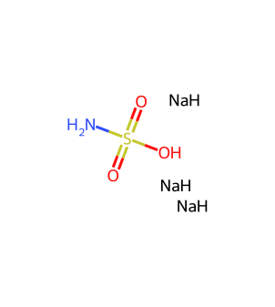 NS(=O)(=O)O.[NaH].[NaH].[NaH]